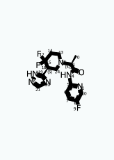 C[C@@H](C(=O)Nc1ccc(F)cn1)N1CCC(F)(F)[C@H](c2ncn[nH]2)C1